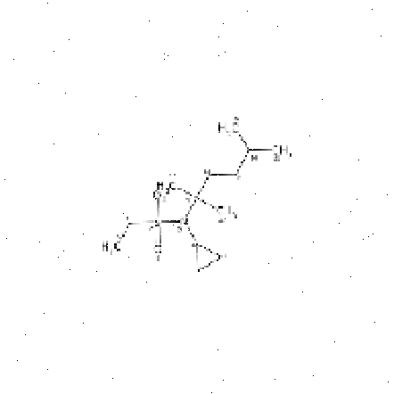 CCS(=O)(=O)N(C1CC1)C(C)(C)CCC(C)C